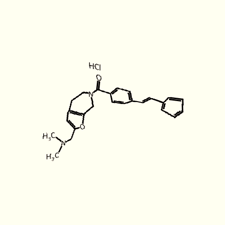 CN(C)Cc1cc2c(o1)CN(C(=O)c1ccc(/C=C/c3ccccc3)cc1)CC2.Cl